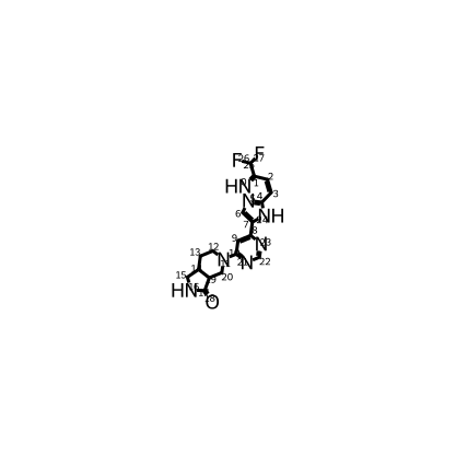 N=C(/C=C\c1ncc(-c2cc(N3CCC4CNC(=O)C4C3)ncn2)[nH]1)C(F)F